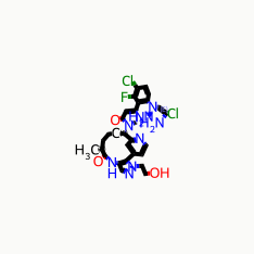 C[C@@H]1CCC[C@H](n2cnc(-c3c(N(N)/C=C(\N)Cl)ccc(Cl)c3F)cc2=O)c2cc(ccn2)-c2c(cnn2CCO)NC1=O